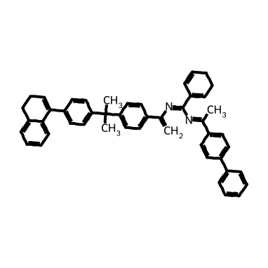 C=C(/N=C(\N=C(/C)c1ccc(-c2ccccc2)cc1)C1=CCCC=C1)c1ccc(C(C)(C)c2ccc(C3=CCCc4ccccc43)cc2)cc1